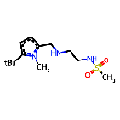 Cn1c(CNCCNS(C)(=O)=O)ccc1C(C)(C)C